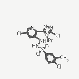 CC(C)n1c(Cl)nnc1-c1ncc(Cl)cc1NNS(=O)(=O)c1ccc(Cl)c(C(F)(F)F)c1